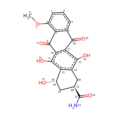 COc1cccc2c1C(=O)c1c(O)c3c(c(O)c1C2=O)C[C@@H](C(N)=O)C[C@@H]3O